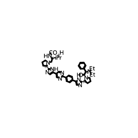 CCN(CC)[C@@H](C(=O)N1CCC[C@H]1c1ncc(-c2ccc(-c3ncc(-c4cnc([C@@H]5CCCN5C[C@@H](NC(=O)O)C(C)C)[nH]4)cn3)cc2)[nH]1)c1ccccc1